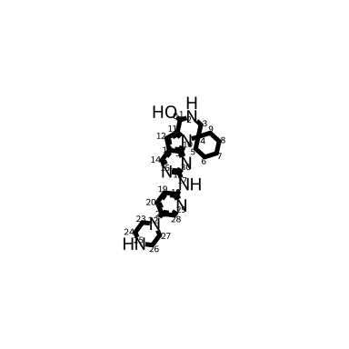 OC1NCC2(CCCCC2)n2c1cc1cnc(Nc3ccc(N4CCNCC4)cn3)nc12